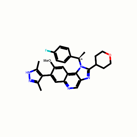 COc1cc2c(cc1-c1c(C)n[nH]c1C)ncc1nc(C3CCOCC3)n([C@H](C)c3ccc(F)cc3)c12